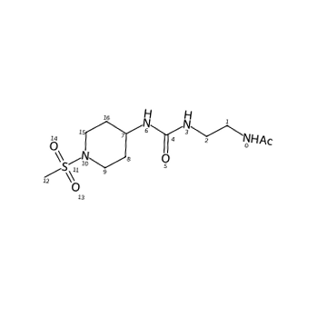 CC(=O)NCCNC(=O)NC1CCN(S(C)(=O)=O)CC1